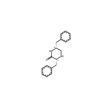 O=C1N[C@H](Cc2ccccc2)CN[C@@H]1Cc1ccccc1